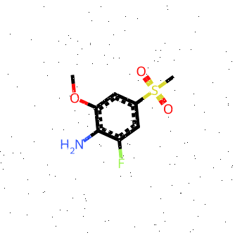 COc1cc(S(C)(=O)=O)cc(F)c1N